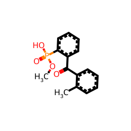 COP(=O)(O)c1ccccc1C(=O)c1ccccc1C